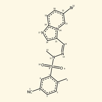 Cc1ccc(C#N)cc1S(=O)(=O)N(C)/N=C\c1cnc2ccc(Br)cn12